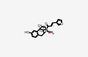 CN1CC[C@]2(C)c3cc(O)ccc3CC1[C@@H]2N(C)C(=O)/C=C/c1ccoc1